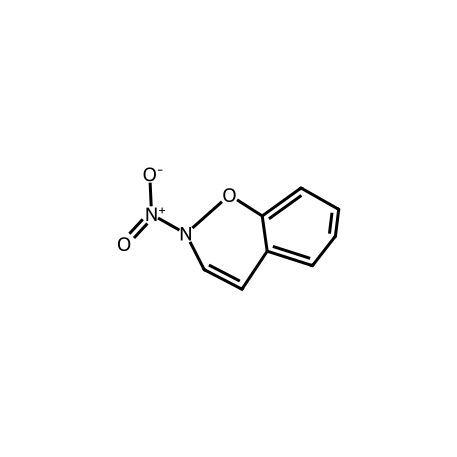 O=[N+]([O-])N1C=Cc2ccccc2O1